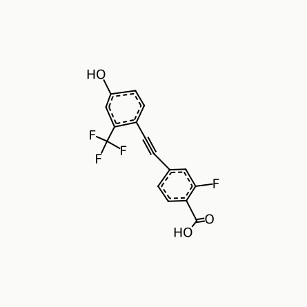 O=C(O)c1ccc(C#Cc2ccc(O)cc2C(F)(F)F)cc1F